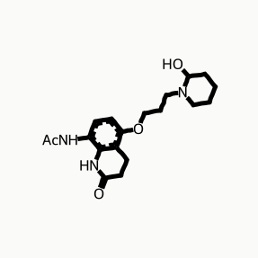 CC(=O)Nc1ccc(OCCCN2CCCCC2O)c2c1NC(=O)CC2